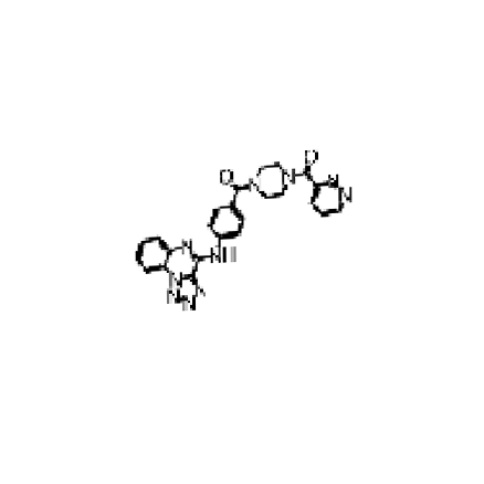 O=C(c1ccc(Nc2nc3ccccc3n3nnnc23)cc1)N1CCN(C(=O)c2cccnn2)CC1